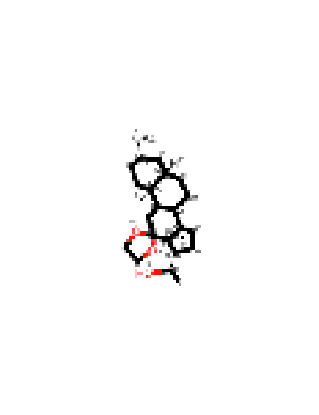 CC(=O)O[C@H]1CC[C@]2(C)C3CC4(OCCO4)[C@@]4(C)C(CC[C@@H]4C(C)O)C3CC[C@H]2C1